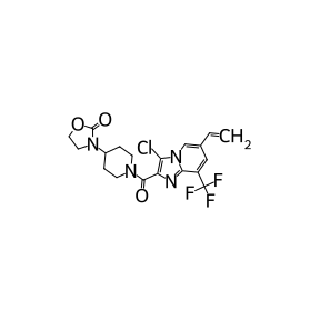 C=Cc1cc(C(F)(F)F)c2nc(C(=O)N3CCC(N4CCOC4=O)CC3)c(Cl)n2c1